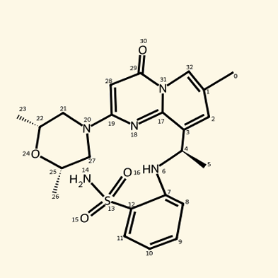 Cc1cc([C@@H](C)Nc2ccccc2S(N)(=O)=O)c2nc(N3C[C@@H](C)O[C@@H](C)C3)cc(=O)n2c1